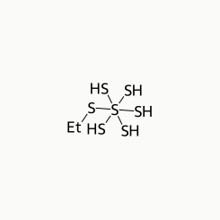 CCSS(S)(S)(S)(S)S